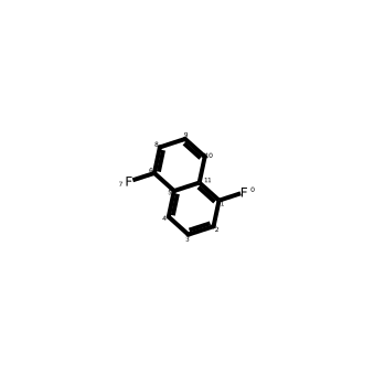 Fc1cccc2c(F)cc[c]c12